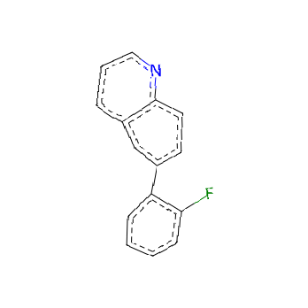 Fc1ccccc1-c1ccc2ncccc2c1